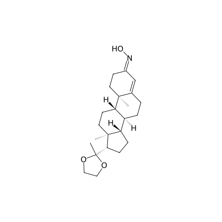 CC1([C@H]2CC[C@H]3[C@@H]4CCC5=C/C(=N/O)CC[C@]5(C)[C@H]4CC[C@]23C)OCCO1